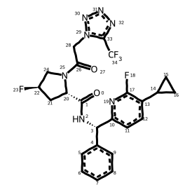 O=C(N[C@@H](c1ccccc1)c1ccc(C2CC2)c(F)n1)[C@@H]1C[C@@H](F)CN1C(=O)Cn1nnnc1C(F)(F)F